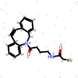 O=C(CBr)NCCCC(=O)N1Cc2ccccc2C#Cc2ccccc21